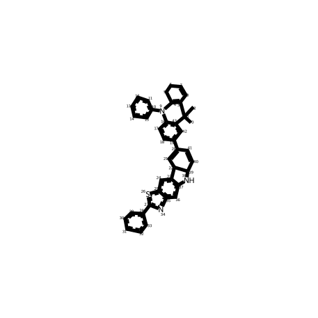 CC1(C)C2=C(CCC=C2)N(c2ccccc2)c2ccc(C3=CC4c5cc6sc(-c7ccccc7)nc6cc5NC4C=C3)cc21